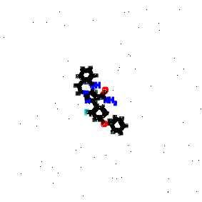 NC(=O)c1c(-c2ccc(Oc3ccccc3)cc2F)nn2c1Nc1ccccc1CC2